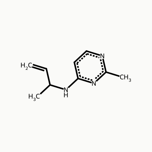 C=CC(C)Nc1ccnc(C)n1